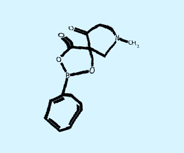 CN1CC(=O)C2(C1)OB(c1ccccc1)OC2=O